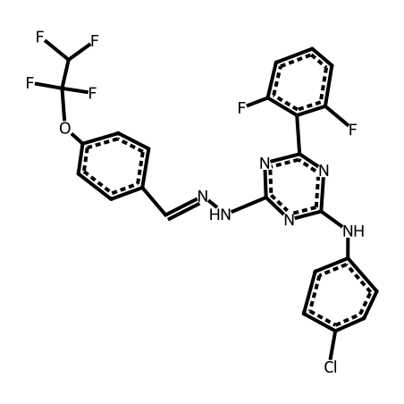 Fc1cccc(F)c1-c1nc(NN=Cc2ccc(OC(F)(F)C(F)F)cc2)nc(Nc2ccc(Cl)cc2)n1